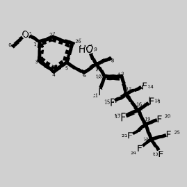 COc1ccc(CC(C)(O)C(I)=CC(F)(F)C(F)(F)C(F)(F)C(F)(F)F)cc1